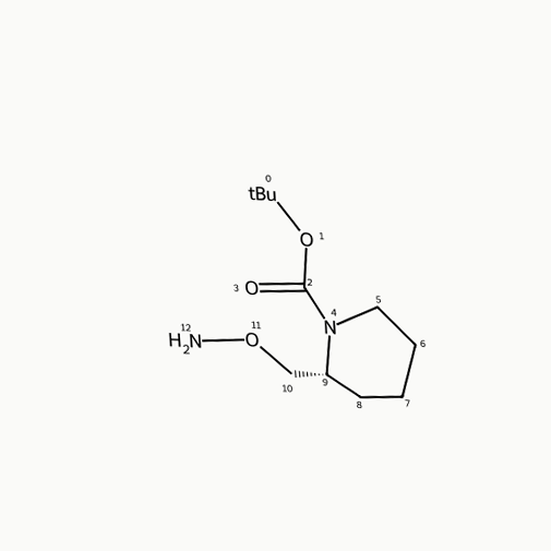 CC(C)(C)OC(=O)N1CCCC[C@@H]1CON